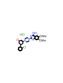 COc1cc2nc(N3CCN(C4=CC(=O)CC(c5ccccc5Cl)C4)CC3)nc(N)c2cc1OC.Cl